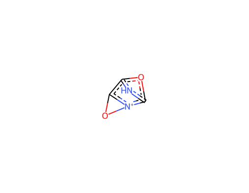 [nH]1c2oc1[n+]1c2O1